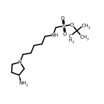 CC(C)(C)OS(=O)(=O)CNCCCCCN1CC[C@H](N)C1